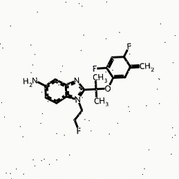 C=C1C=C(OC(C)(C)c2nc3cc(N)ccc3n2CCF)C(F)=CC1F